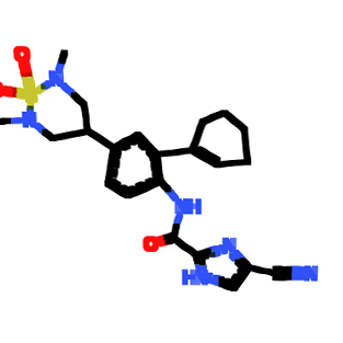 CN1CC(c2ccc(NC(=O)c3nc(C#N)c[nH]3)c(C3=CCCCC3)c2)CN(C)S1(=O)=O